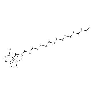 CCCCCCCCCCCCCCCCCCN[Si](C(C)C)(C(C)C)C(C)C